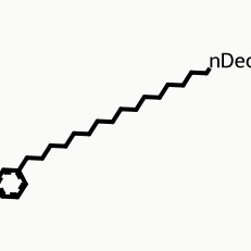 CCCCCCCCCCCCCCCCCCCCCCCCCCc1cc[c]cc1